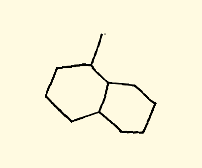 [CH2]C1CCCC2CCCCC12